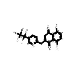 O=C1C=C(Cc2ccc(C(F)(F)C(F)(F)F)cn2)C(=O)c2c(F)ccc(F)c21